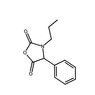 CCCN1C(=O)OC(=O)C1c1ccccc1